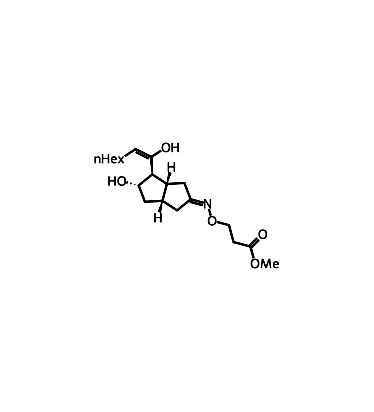 CCCCCC/C=C(/O)[C@H]1[C@@H]2C/C(=N/OCCC(=O)OC)C[C@@H]2C[C@@H]1O